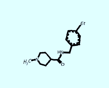 CCc1ccc(CNC(=O)C2CCN(C)CC2)cc1